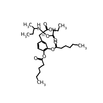 CCCCCC(=O)Oc1ccc(C[C@](NC(C)CC)(OC(=O)CCC)C(=O)O)cc1OC(=O)CCCCC